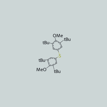 COc1c(C(C)(C)C)cc(Sc2cc(C(C)(C)C)c(OC)c(C(C)(C)C)c2)cc1C(C)(C)C